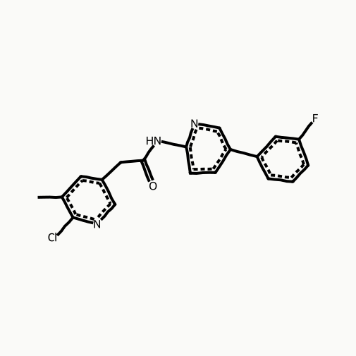 Cc1cc(CC(=O)Nc2ccc(-c3cccc(F)c3)cn2)cnc1Cl